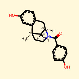 C[C@H]1[C@H]2Cc3ccc(O)cc3[C@]1(C)CCN2C(=O)c1ccc(O)cc1